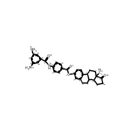 CC12CCC3c4ccc(OC(=O)c5ccc(NC(=O)c6cc(N)cc(N)c6)cc5)cc4CCC3C1CCC2=O